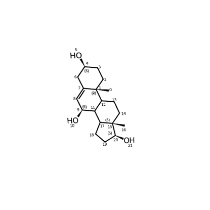 C[C@]12CC[C@H](O)CC1=C[C@H](O)C1C2CC[C@@]2(C)C1CC[C@@H]2O